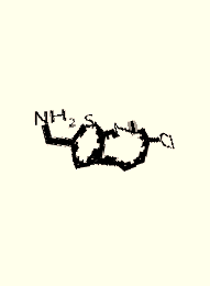 NCc1cc2ccc(Cl)nc2s1